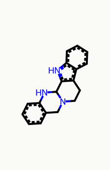 c1ccc2c(c1)CN1CCc3c([nH]c4ccccc34)C1N2